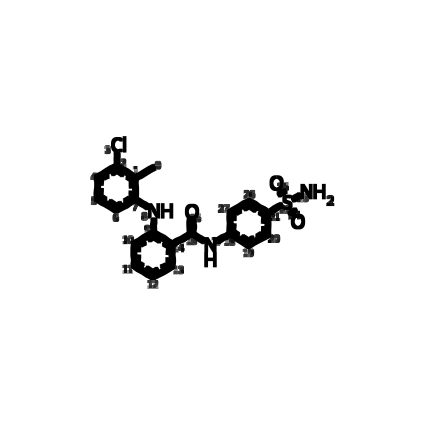 Cc1c(Cl)cccc1Nc1ccccc1C(=O)Nc1ccc(S(N)(=O)=O)cc1